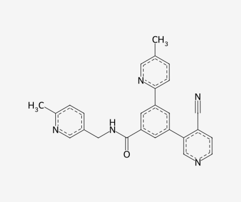 Cc1ccc(-c2cc(C(=O)NCc3ccc(C)nc3)cc(-c3cnccc3C#N)c2)nc1